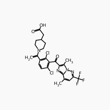 C=C(c1ccc(Cl)c(C(=O)c2nc3c(C)cc(C(F)(F)F)nn3c2C)c1Cl)N1CCC(CC(=O)O)CC1